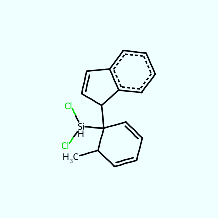 CC1C=CC=CC1(C1C=Cc2ccccc21)[SiH](Cl)Cl